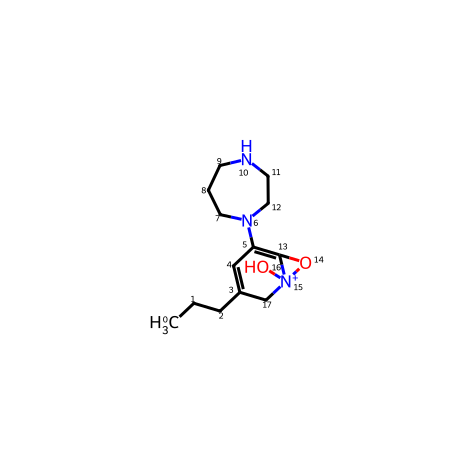 CCCC1=CC(N2CCCNCC2)=C2O[N+]2(O)C1